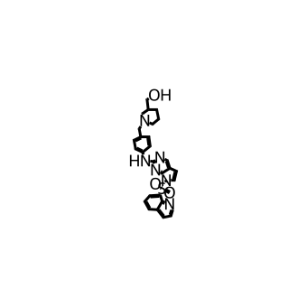 O=S(=O)(c1cccc2cccnc12)n1ccc2cnc(Nc3ccc(CN4CCCC(CO)C4)cc3)nc21